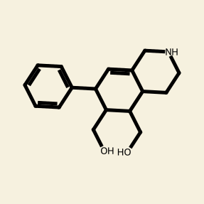 OCC1C2CCNCC2=CC(c2ccccc2)C1CO